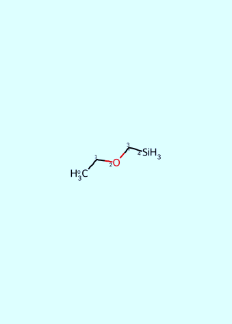 CCO[CH][SiH3]